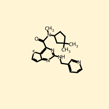 CN(C(=O)c1nc(NCc2cccnc2)nc2ccsc12)C1CCC(C)(C)C1